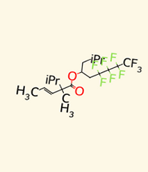 C/C=C/C(C)(C(=O)OC(CC(C)C)CC(F)(F)C(F)(F)C(F)(F)C(F)(F)F)C(C)C